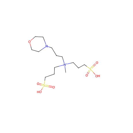 C[N+](CCCN1CCOCC1)(CCCS(=O)(=O)O)CCCS(=O)(=O)O